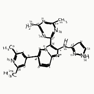 Cc1cc(-c2ccc3nc(Nc4cc[nH]n4)c(-c4nc(C)nc(N)n4)n3c2)cc(C)n1